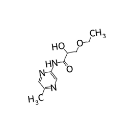 CCOCC(O)C(=O)Nc1cnc(C)cn1